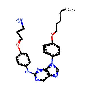 NCCCOc1ccc(Nc2ncc3ncn(-c4ccc(OCCCCC(=O)O)cc4)c3n2)cc1